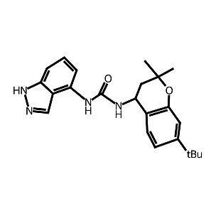 CC1(C)CC(NC(=O)Nc2cccc3[nH]ncc23)c2ccc(C(C)(C)C)cc2O1